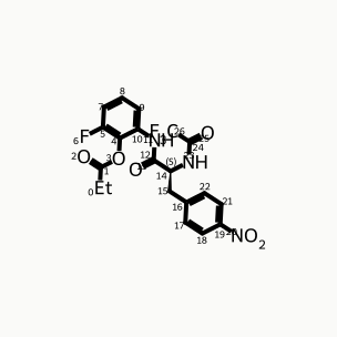 CCC(=O)Oc1c(F)cccc1NC(=O)[C@H](Cc1ccc([N+](=O)[O-])cc1)NC(=O)C(F)(F)F